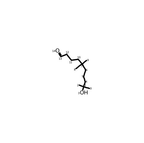 CC(C)(O)CCCC(C)(C)CCCC=O